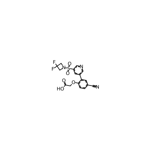 N#Cc1ccc(OCC(=O)O)c(-c2cncc(S(=O)(=O)N3CC(F)(F)C3)c2)c1